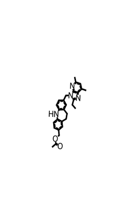 CCc1nc2c(C)cc(C)nc2n1Cc1ccc2c(c1)CCc1cc(COC(C)=O)ccc1N2